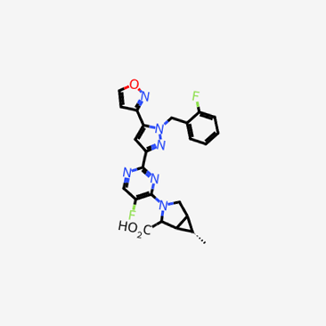 C[C@H]1C2CN(c3nc(-c4cc(-c5ccon5)n(Cc5ccccc5F)n4)ncc3F)C(C(=O)O)C21